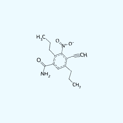 C#Cc1c(CCC)cc(C(N)=O)c(CCC)c1[N+](=O)[O-]